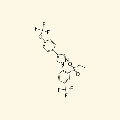 CCS(=O)(=O)c1cc(C(F)(F)F)ccc1-n1cc(-c2ccc(OC(F)(F)F)cc2)cn1